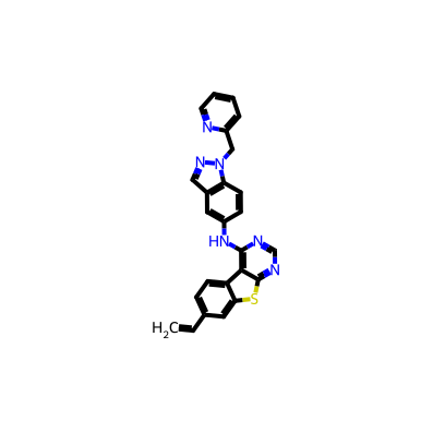 C=Cc1ccc2c(c1)sc1ncnc(Nc3ccc4c(cnn4Cc4ccccn4)c3)c12